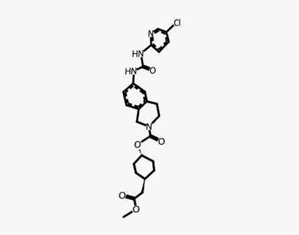 COC(=O)C[C@H]1CC[C@H](OC(=O)N2CCc3cc(NC(=O)Nc4ccc(Cl)cn4)ccc3C2)CC1